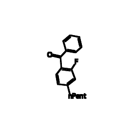 CCCCCc1ccc(C(=O)c2ccccc2)c(F)c1